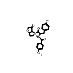 O=C(NC(Cc1ccc(Cl)cc1)C(=O)N1CCC2OCC(=O)C21)c1ccc(C(F)(F)F)cc1